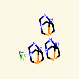 C1C2CP3CN1CN(C3)N2.C1C2CP3CN1CN(C3)N2.C1C2CP3CN1CN(C3)N2.[Cl-].[Cl][Pt+]